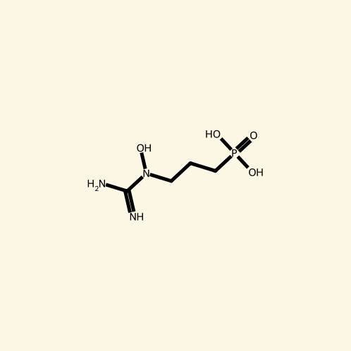 N=C(N)N(O)CCCP(=O)(O)O